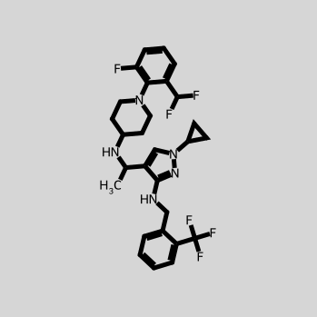 CC(NC1CCN(c2c(F)cccc2C(F)F)CC1)c1cn(C2CC2)nc1NCc1ccccc1C(F)(F)F